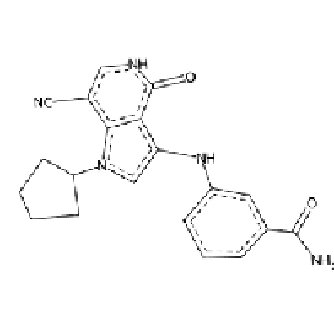 N#Cc1c[nH]c(=O)c2c(Nc3cccc(C(N)=O)c3)cn(C3CCCC3)c12